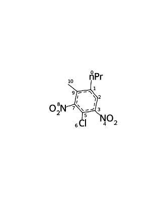 CCCc1cc([N+](=O)[O-])c(Cl)c([N+](=O)[O-])c1C